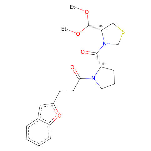 CCOC(OCC)[C@@H]1CSCN1C(=O)[C@@H]1CCCN1C(=O)CCc1cc2ccccc2o1